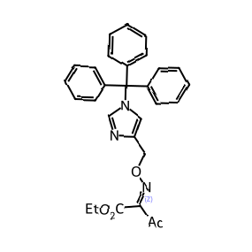 CCOC(=O)/C(=N\OCc1cn(C(c2ccccc2)(c2ccccc2)c2ccccc2)cn1)C(C)=O